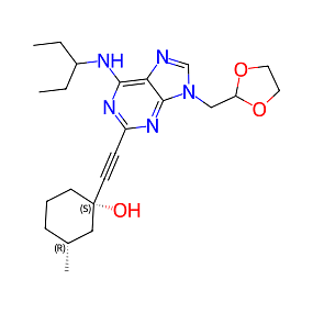 CCC(CC)Nc1nc(C#C[C@]2(O)CCC[C@@H](C)C2)nc2c1ncn2CC1OCCO1